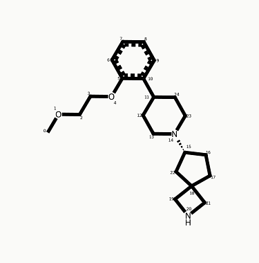 COCCOc1ccccc1C1CCN([C@@H]2CCC3(CNC3)C2)CC1